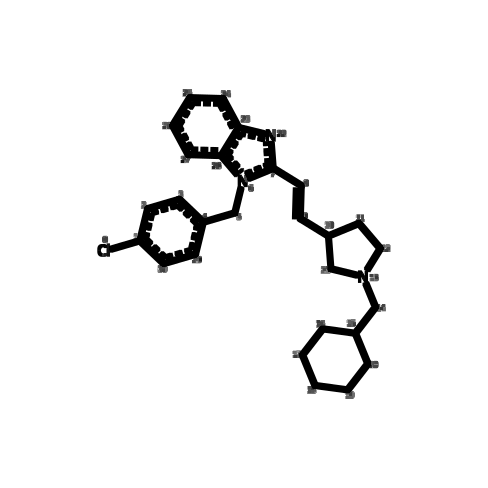 Clc1ccc(Cn2c(/C=C/C3CCN(CC4CCCCC4)C3)nc3ccccc32)cc1